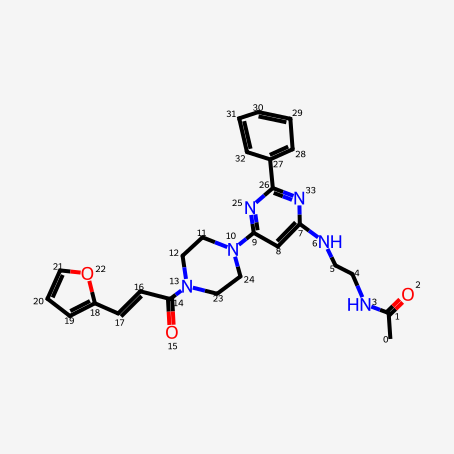 CC(=O)NCCNc1cc(N2CCN(C(=O)/C=C/c3ccco3)CC2)nc(-c2ccccc2)n1